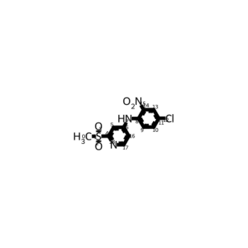 CS(=O)(=O)c1cc(Nc2ccc(Cl)cc2[N+](=O)[O-])ccn1